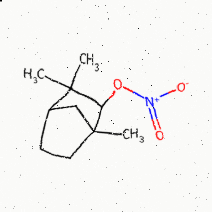 CC12CCC(C1)C(C)(C)C2O[N+](=O)[O-]